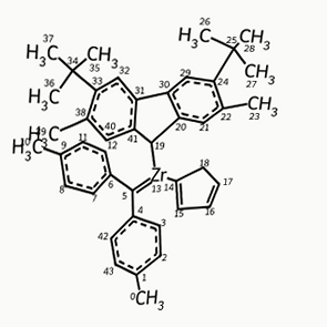 Cc1ccc([C](c2ccc(C)cc2)=[Zr]([C]2=CC=CC2)[CH]2c3cc(C)c(C(C)(C)C)cc3-c3cc(C(C)(C)C)c(C)cc32)cc1